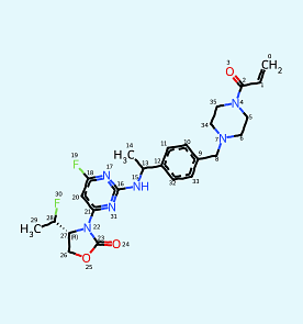 C=CC(=O)N1CCN(Cc2ccc(C(C)Nc3nc(F)cc(N4C(=O)OC[C@@H]4C(C)F)n3)cc2)CC1